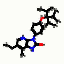 CCc1cnc2c([nH]c(=O)n2-c2ccc(O[Si](C(C)C)(C(C)C)C(C)C)cc2)c1C